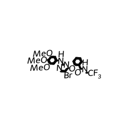 COc1cc(Nc2ncc(Br)c(Oc3ccccc3C(=O)NCC(F)(F)F)n2)cc(OC)c1OC